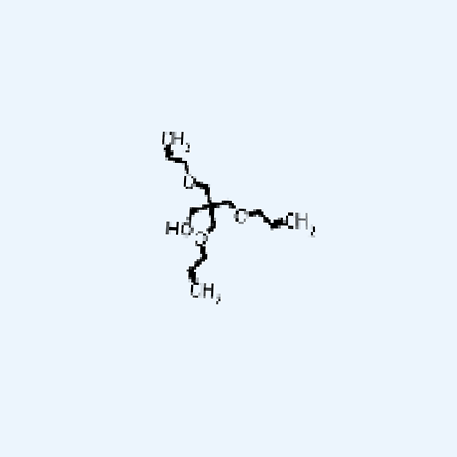 C=CCOCC(CO)(COCC=C)COCC=C